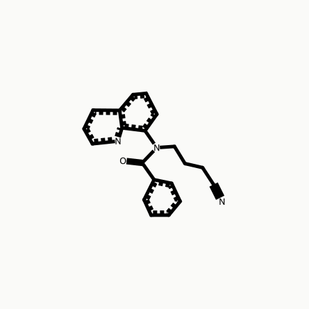 N#CCCCN(C(=O)c1ccccc1)c1cccc2cccnc12